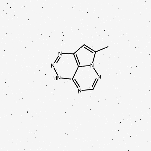 Cc1cc2c3c(ncnn13)NN=N2